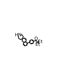 CCN(CC)C(=O)c1ccc(-c2cccc3c2C=CC2(CCCNCC2)C3)cc1